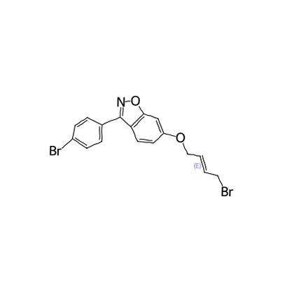 BrC/C=C/COc1ccc2c(-c3ccc(Br)cc3)noc2c1